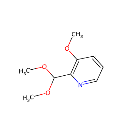 COc1[c]ccnc1C(OC)OC